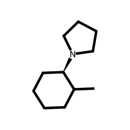 CC1CCCC[C@H]1N1CCCC1